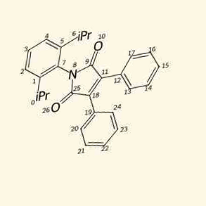 CC(C)c1cccc(C(C)C)c1N1C(=O)C(c2ccccc2)=C(c2ccccc2)C1=O